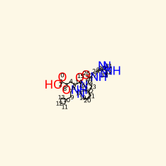 O=C(O)CCC(NC(=O)CC1CCC1)C(=O)N1c2ncccc2CC1C(=O)NCc1nn[nH]n1